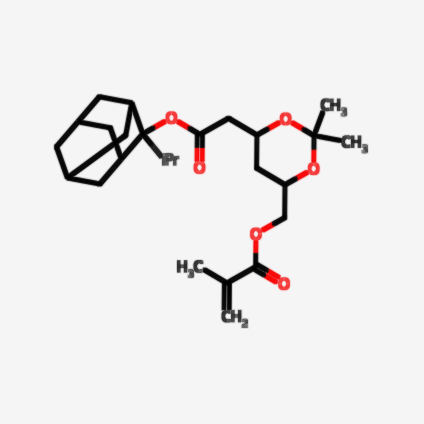 C=C(C)C(=O)OCC1CC(CC(=O)OC2(C(C)C)C3CC4CC(C3)CC2C4)OC(C)(C)O1